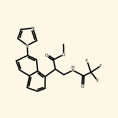 COC(=O)C(CNC(=O)C(F)(F)F)c1cccc2ccc(-n3ccnc3)cc12